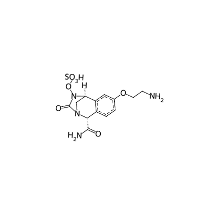 NCCOc1ccc2c(c1)[C@H]1CN(C(=O)N1OS(=O)(=O)O)[C@H]2C(N)=O